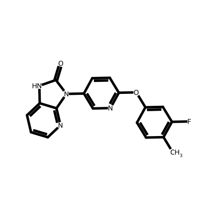 Cc1ccc(Oc2ccc(-n3c(=O)[nH]c4cccnc43)cn2)cc1F